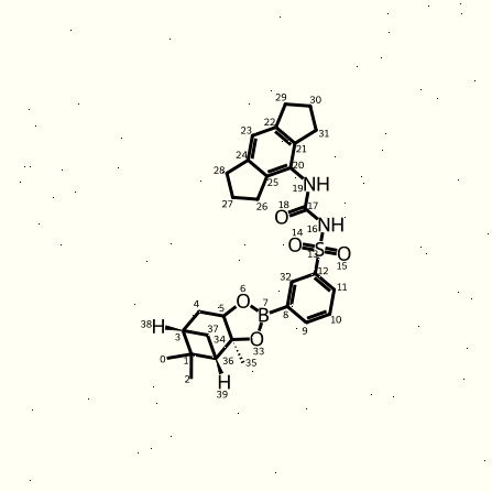 CC1(C)[C@@H]2CC3OB(c4cccc(S(=O)(=O)NC(=O)Nc5c6c(cc7c5CCC7)CCC6)c4)O[C@@]3(C)[C@H]1C2